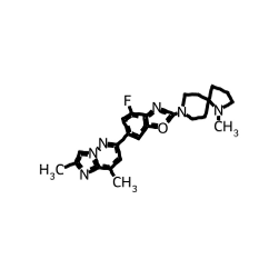 Cc1cn2nc(-c3cc(F)c4nc(N5CCC6(CCCN6C)CC5)oc4c3)cc(C)c2n1